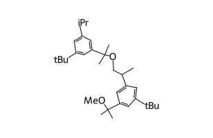 COC(C)(C)c1cc(C(C)COC(C)(C)c2cc(C(C)C)cc(C(C)(C)C)c2)cc(C(C)(C)C)c1